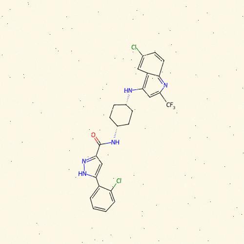 O=C(N[C@H]1CC[C@@H](Nc2cc(C(F)(F)F)nc3ccc(Cl)cc23)CC1)c1cc(-c2ccccc2Cl)[nH]n1